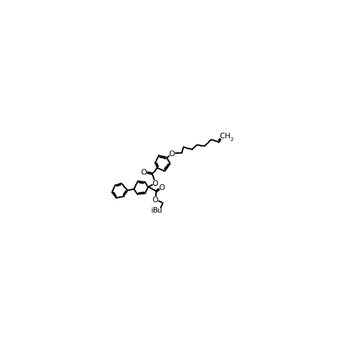 C=CCCCCCCOc1ccc(C(=O)OC2(C(=O)OCC(C)CC)C=CC(c3ccccc3)C=C2)cc1